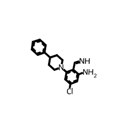 N=Cc1c(N)cc(Cl)cc1N1CCC(c2ccccc2)CC1